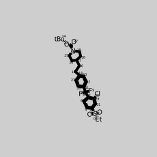 CCS(=O)(=O)c1ccc(C(F)(F)c2ccc(CCC3CCN(C(=O)OC(C)(C)C)CC3)cc2)c(Cl)c1